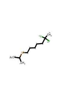 CC(=O)OC(C)SCCCCCC(C)(F)F